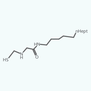 CCCCCCCCCCCCNC(=O)CNCS